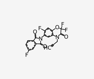 C#CCN1C(=O)C(F)(F)Oc2cc(F)c(N3C(=O)c4ccc(F)cc4C3=O)cc21